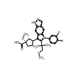 COCC(C)(C)c1c(C2CC[C@@](OC)(C(=O)O)C2)c2cc3[nH]ncc3cc2n1-c1ccc(F)c(F)c1